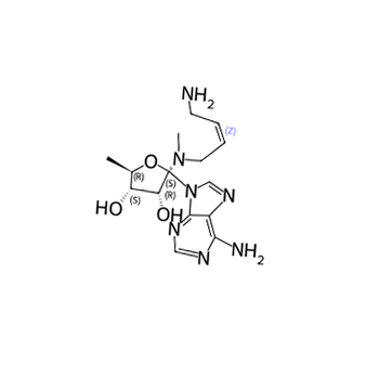 C[C@H]1O[C@@](N(C)C/C=C\CN)(n2cnc3c(N)ncnc32)[C@H](O)[C@@H]1O